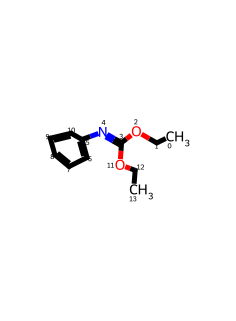 CCOC(=Nc1ccccc1)OCC